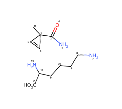 CC1(C(N)=O)C=C1.NCCCCC(N)C(=O)O